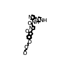 COCCOCCOc1ccc2c(c1)CC(C1=NC(C(=O)Nc3cnccc3N3CCNCC3)=CC1)C2=O